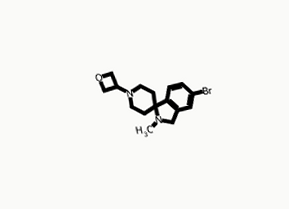 CN1Cc2cc(Br)ccc2C12CCN(C1COC1)CC2